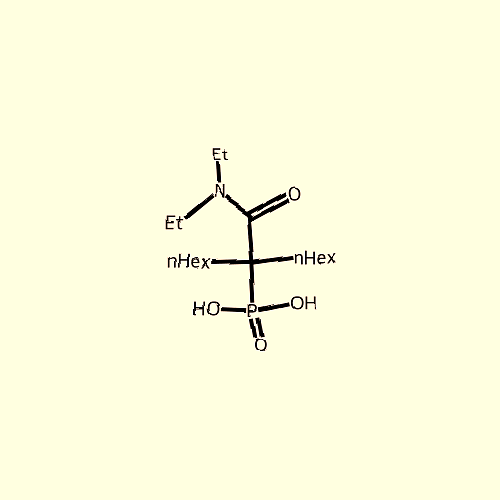 CCCCCCC(CCCCCC)(C(=O)N(CC)CC)P(=O)(O)O